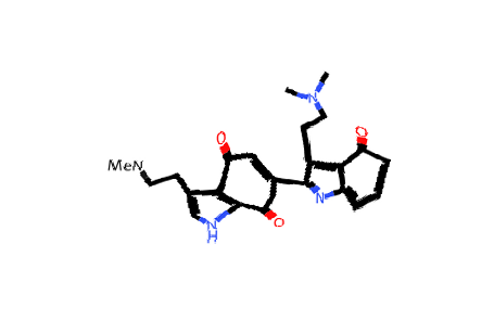 CNCCc1c[nH]c2c1C(=O)C=C(C1=NC3=CC=CC(=O)C3=C1CCN(C)C)C2=O